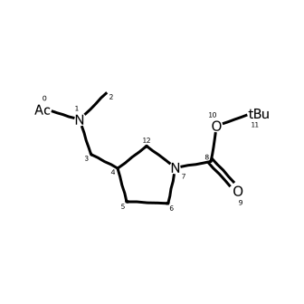 CC(=O)N(C)CC1CCN(C(=O)OC(C)(C)C)C1